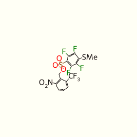 CSc1c(F)c(F)c(S(=O)(=O)OCc2c([N+](=O)[O-])cccc2C(F)(F)F)c(F)c1F